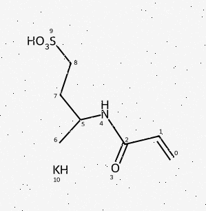 C=CC(=O)NC(C)CCS(=O)(=O)O.[KH]